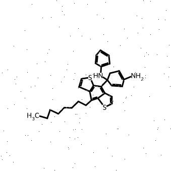 CCCCCCCCc1c2ccsc2c(C2(Nc3ccccc3)C=CC(N)=CC2)c2ccsc12